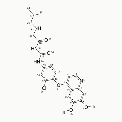 COc1cc2nccc(Oc3ccc(NC(=O)NC(=O)CNCC(C)C)cc3Cl)c2cc1OC